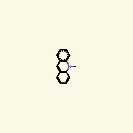 CN1c2ccccc2C=C2C=CC=CC21